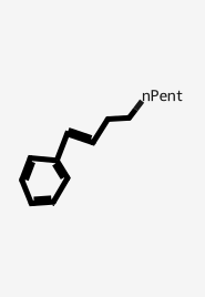 CCCCCCCC=Cc1c[c]ccc1